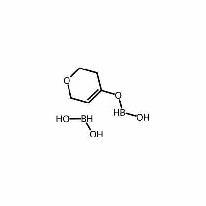 OBO.OBOC1=CCOCC1